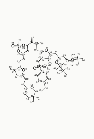 C=C(CC[C@@H](CC[C@@H]1O[C@@H](CCC2OCC(C)(C)CO2)CC1=C)OS(C)(=O)=O)C(C)C[C@@H]1O[C@H](CC(CO[Si](C)(C)C(C)(C)C)O[Si](C)(C)C(C)(C)C)C(OC)[C@H]1CS(=O)(=O)c1ccc(CC)cc1